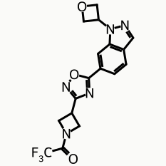 O=C(N1CC(c2noc(-c3ccc4cnn(C5COC5)c4c3)n2)C1)C(F)(F)F